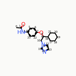 CC(=O)Nc1ccc(OC(Cn2ccnc2)C2CCCCC2)cc1